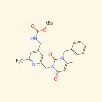 Cc1cc(=O)n(Cc2cc(CNC(=O)OC(C)(C)C)cc(C(F)(F)F)n2)c(=O)n1Cc1ccccc1